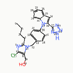 CCCCc1nc(Cl)c(CO)n1Cc1ccc(-n2c(-c3nn[nH]n3)cc3ccccc32)cc1